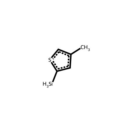 Cc1csc([SiH3])c1